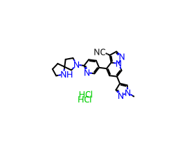 Cl.Cl.Cn1cc(-c2cc(-c3ccc(N4CCC5(CCCN5)C4)nc3)c3c(C#N)cnn3c2)cn1